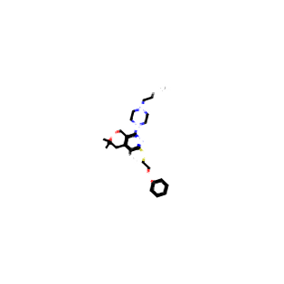 COCCN1CCN(c2nc(SCCOc3ccccc3)c(C#N)c3c2COC(C)(C)C3)CC1